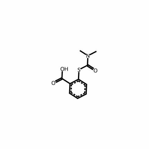 CN(C)C(=O)Sc1ccccc1C(=O)O